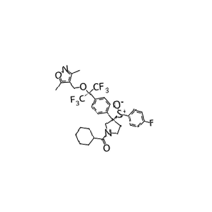 Cc1noc(C)c1COC(c1ccc([C@]2([S+]([O-])c3ccc(F)cc3)CCN(C(=O)C3CCCCC3)C2)cc1)(C(F)(F)F)C(F)(F)F